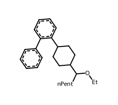 CCCCCC(OCC)C1CCC(c2ccccc2-c2ccccc2)CC1